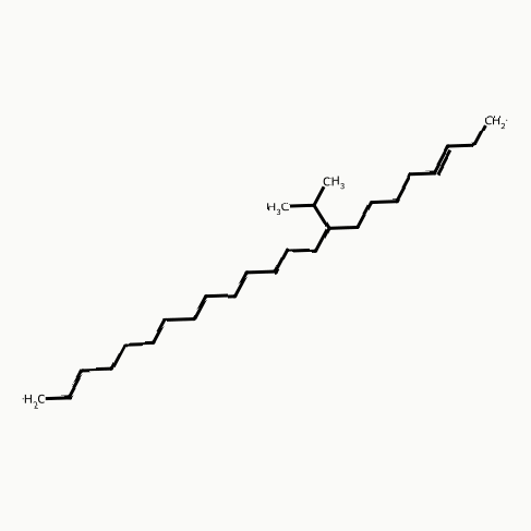 [CH2]CC=CCCCCC(CCCCCCCCCCCCC[CH2])C(C)C